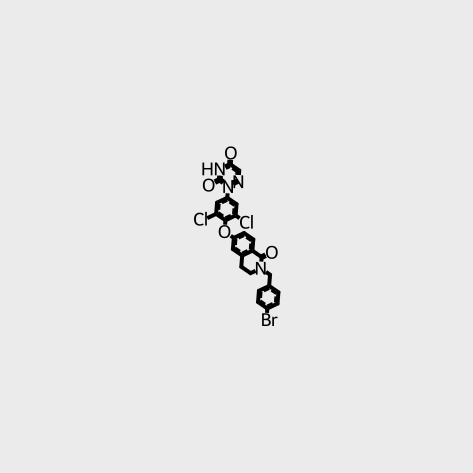 O=C1c2ccc(Oc3c(Cl)cc(-n4ncc(=O)[nH]c4=O)cc3Cl)cc2CCN1Cc1ccc(Br)cc1